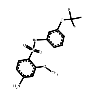 COc1cc(N)ccc1S(=O)(=O)Nc1cccc(OC(F)(F)F)c1